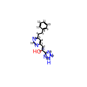 O/C(=C\c1cc(CCc2ccccc2)ncn1)c1nn[nH]n1